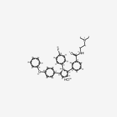 CN(C)CCNC(=O)c1cccc(-c2ccc(-c3ccc(Oc4ccccc4)cc3)n2-c2ccc(F)cc2)c1.Cl